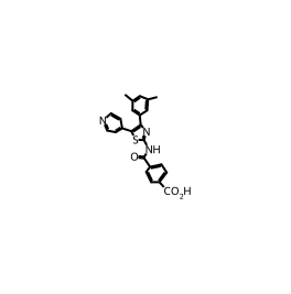 Cc1cc(C)cc(-c2nc(NC(=O)c3ccc(C(=O)O)cc3)sc2-c2ccncc2)c1